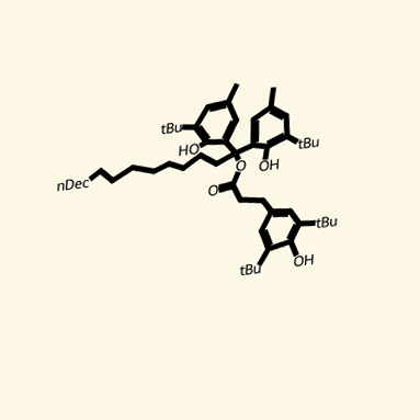 CCCCCCCCCCCCCCCCCCC(OC(=O)CCc1cc(C(C)(C)C)c(O)c(C(C)(C)C)c1)(c1cc(C)cc(C(C)(C)C)c1O)c1cc(C)cc(C(C)(C)C)c1O